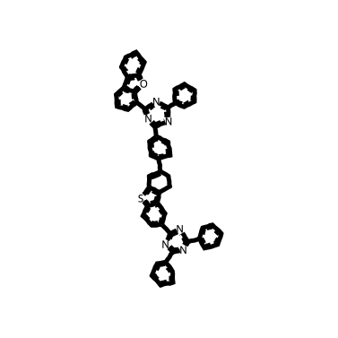 C1=C(c2ccc(-c3nc(-c4ccccc4)nc(-c4cccc5c4oc4ccccc45)n3)cc2)CCc2c1sc1ccc(-c3nc(-c4ccccc4)nc(-c4ccccc4)n3)cc21